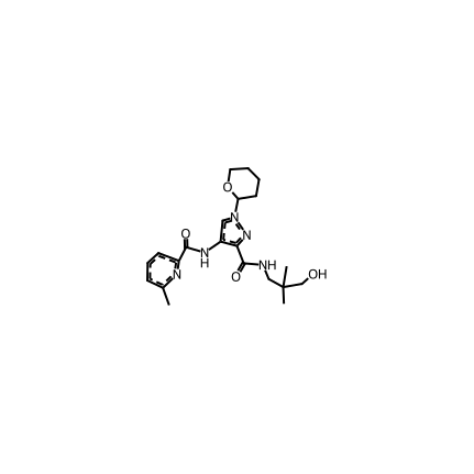 Cc1cccc(C(=O)Nc2cn(C3CCCCO3)nc2C(=O)NCC(C)(C)CO)n1